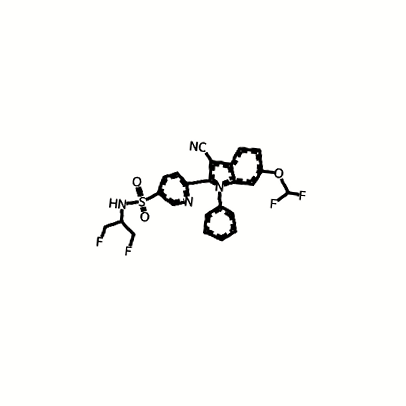 N#Cc1c(-c2ccc(S(=O)(=O)NC(CF)CF)cn2)n(-c2ccccc2)c2cc(OC(F)F)ccc12